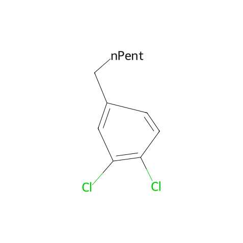 CCCCCCc1ccc(Cl)c(Cl)c1